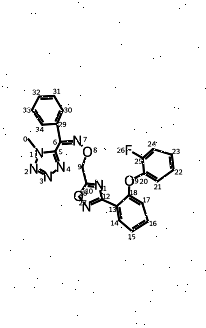 Cn1nnnc1/C(=N\OCc1nc(-c2ccccc2Oc2ccccc2F)no1)c1ccccc1